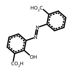 O=C(O)c1ccccc1/N=N/c1cccc(C(=O)O)c1O